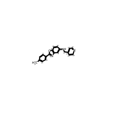 Cc1ccc(-c2nc3cc(NCc4ccncc4)ccc3o2)cc1